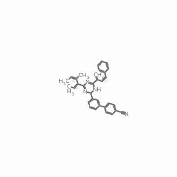 C=C(/C=C\c1ccccc1)C1=NC(C(=C/C)/C(C)=C\C)=NC(c2cccc(-c3ccc(C#N)cc3)c2)N1